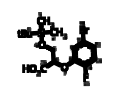 CC(C)(C)[Si](C)(C)OCC(Oc1cc(Br)ccc1F)C(=O)O